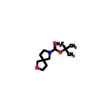 CC(C)(C)OC(=O)N1CCC2(CCOC2)C1